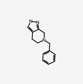 C1=C2CCN(Cc3ccccc3)CC2=N[N]1